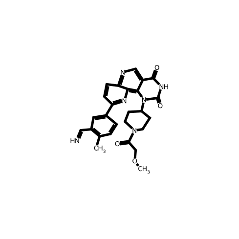 COCC(=O)N1CCC(n2c(=O)[nH]c(=O)c3cnc4ccc(-c5ccc(C)c(C=N)c5)nc4c32)CC1